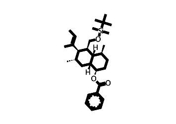 C/C=C(\C)[C@H]1[C@@H](CO[Si](C)(C)C(C)(C)C)[C@H]2[C@@H](C[C@@H]1C)[C@@H](OC(=O)c1ccccc1)CC[C@@H]2C